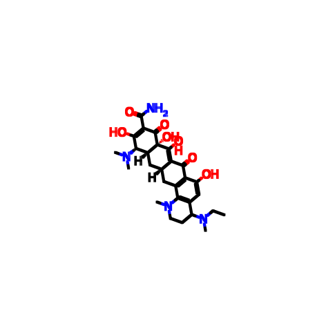 CCN(C)C1CCN(C)c2c1cc(O)c1c2C[C@@H]2C[C@@H]3[C@@H](N(C)C)C(O)=C(C(N)=O)C(=O)[C@@]3(O)C(O)=C2C1=O